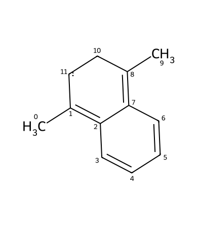 CC1=c2ccccc2=C(C)C[C]1